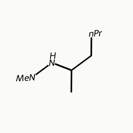 CCCCC(C)NNC